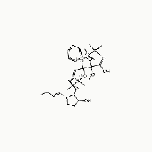 CCC=C[C@H]1CC[C@H](O)[C@@H]1CC=C=CC([16O][Si](C)(C)C(C)(C)C)([16O][Si](C)(C)C(C)(C)C)C(OC)(Oc1ccccc1)C(=O)O